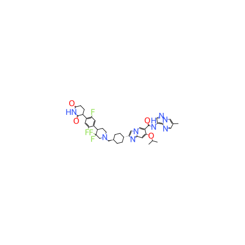 Cc1cnc2c(NC(=O)c3cn4cc([C@H]5CC[C@H](CN6CCC(c7cc(F)c(C8CCC(=O)NC8=O)cc7F)C(F)(F)C6)CC5)nc4cc3OC(C)C)cnn2c1